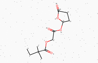 CCC(C)(C)C(=O)OCC(=O)OC1CCC(=O)O1